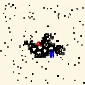 CC=CC1Oc2c(C)ccc(OC)c2-c2ccc3c(c21)C(C)=CC(C)(C)N3